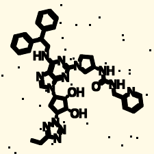 CCc1nnn([C@H]2C[C@@H](n3cnc4c(NCC(c5ccccc5)c5ccccc5)nc(N5CC[C@@H](NC(=O)NCc6ccccn6)C5)nc43)[C@H](O)[C@@H]2O)n1